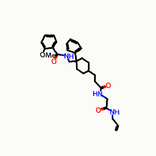 C=CCNC(=O)CNC(=O)CCC1CCC(CNC(=O)c2ccccc2OC)(c2ccccc2)CC1